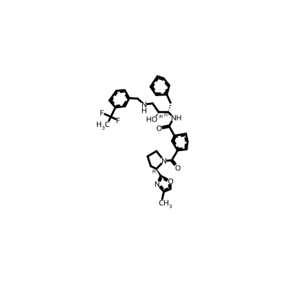 Cc1coc([C@H]2CCCN2C(=O)c2cccc(C(=O)N[C@@H](Cc3ccccc3)[C@H](O)CNCc3cccc(C(C)(F)F)c3)c2)n1